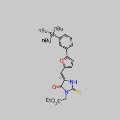 CCC[CH2][Sn]([CH2]CCC)([CH2]CCC)[c]1cccc(-c2ccc(/C=C3\NC(=S)N(CC(=O)OCC)C3=O)o2)c1